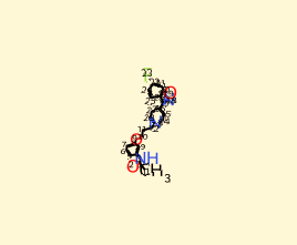 CC(=O)Nc1cccc(OCCCN2CCC(c3noc4cc(F)ccc34)CC2)c1